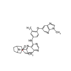 C=CC(=O)N1C2CCC1CC(c1ccc3ncnc(Nc4ccc(Oc5cnc6c(c5)ncn6C)c(C)c4)c3n1)C2